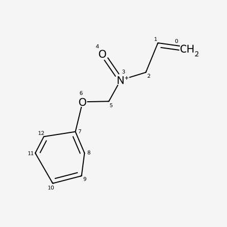 C=CC[N+](=O)COc1ccccc1